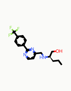 CCC[C@H](CO)NCc1ccnc(-c2ccc(C(F)(F)F)cc2)n1